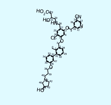 Cc1c(COc2cc(OCc3cncc(C#N)c3)c(CNCC(O)CC(=O)O)cc2Cl)cccc1-c1cccc(OCCCN2CC[C@@H](O)C2)c1